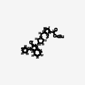 Cn1c(C(=O)OC(C)(C)C)cnc1CN1CCC(n2c(=O)n(-c3ccsc3)c3cccnc32)C1